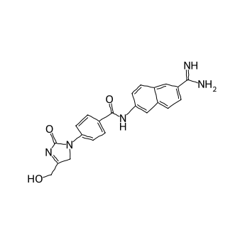 N=C(N)c1ccc2cc(NC(=O)c3ccc(N4CC(CO)=NC4=O)cc3)ccc2c1